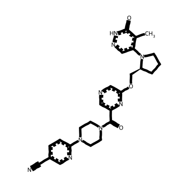 Cc1c(N2CCC[C@H]2COc2cncc(C(=O)N3CCN(c4ccc(C#N)cn4)CC3)n2)cn[nH]c1=O